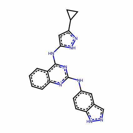 c1ccc2c(Nc3cc(C4CC4)n[nH]3)nc(Nc3ccc4[nH]ncc4c3)nc2c1